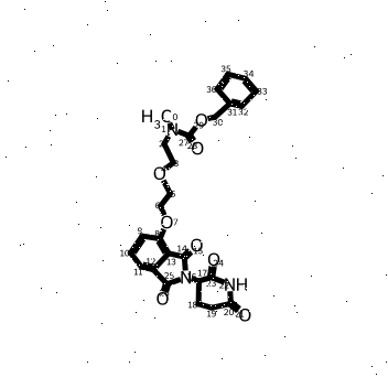 CN(CCOCCOc1cccc2c1C(=O)N(C1CCC(=O)NC1=O)C2=O)C(=O)OCc1ccccc1